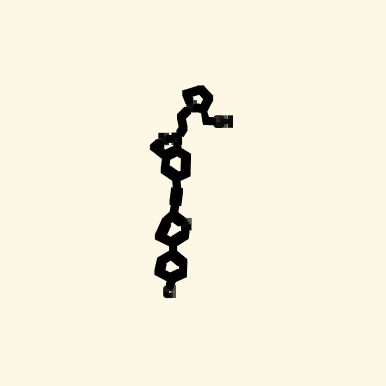 OC[C@@H]1CCCN1CCn1ncc2cc(C#Cc3ccc(-c4ccc(Cl)cc4)cn3)ccc21